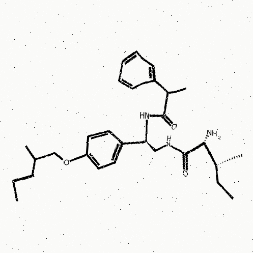 CCCC(C)COc1ccc([C@H](CNC(=O)[C@H](N)[C@H](C)CC)NC(=O)C(C)c2ccccc2)cc1